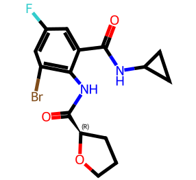 O=C(NC1CC1)c1cc(F)cc(Br)c1NC(=O)[C@H]1CCCO1